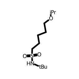 CC(C)OCCCCCS(=O)(=O)NC(C)(C)C